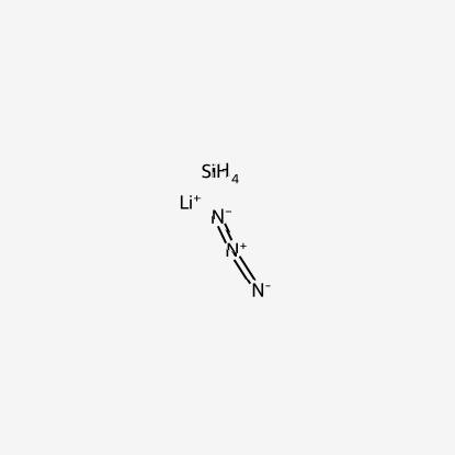 [Li+].[N-]=[N+]=[N-].[SiH4]